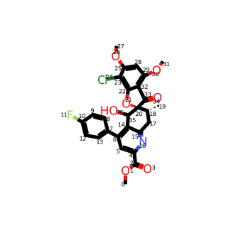 COC(=O)c1cc(-c2ccc(F)cc2)c2c(n1)C[C@@H](C)[C@]1(Oc3c(Cl)c(OC)cc(OC)c3C1=O)C2O